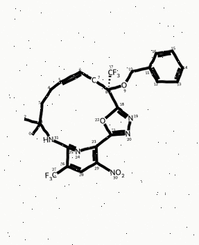 CC1(C)CCC=CC[C@](OCc2ccccc2)(C(F)(F)F)c2nnc(o2)-c2nc(c(C(F)(F)F)cc2[N+](=O)[O-])N1